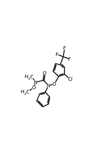 CON(C)C(=O)N(Oc1ccc(C(F)(F)F)cc1Cl)c1ccccc1